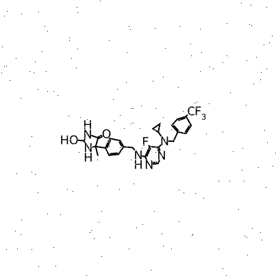 CC1(c2ccc(CNc3ncnc(N(Cc4ccc(C(F)(F)F)cc4)C4CC4)c3F)cc2)NC(O)NC1=O